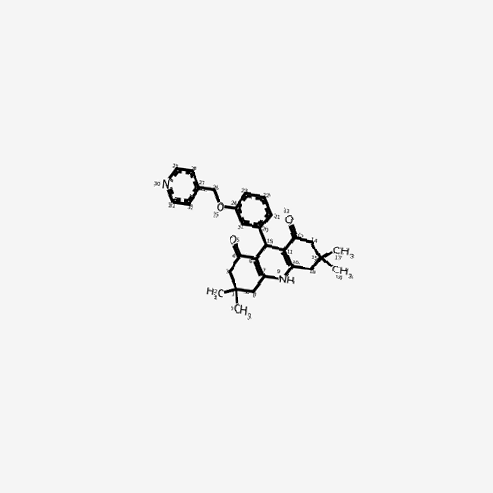 CC1(C)CC(=O)C2=C(C1)NC1=C(C(=O)CC(C)(C)C1)C2c1cccc(OCc2ccncc2)c1